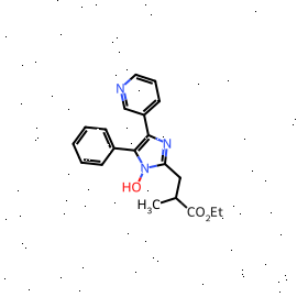 CCOC(=O)C(C)Cc1nc(-c2cccnc2)c(-c2ccccc2)n1O